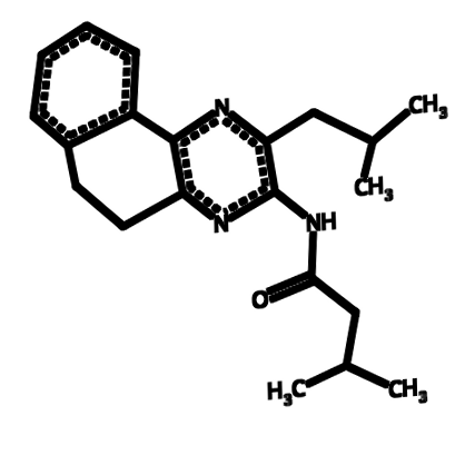 CC(C)CC(=O)Nc1nc2c(nc1CC(C)C)-c1ccccc1CC2